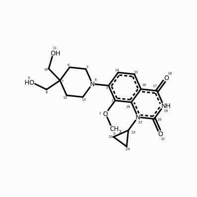 COc1c(N2CCC(CO)(CO)CC2)ccc2c(=O)[nH]c(=O)n(C3CC3)c12